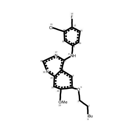 CCC(C)CCOc1cc2c(Nc3ccc(F)c(Cl)c3)ncnc2cc1OC